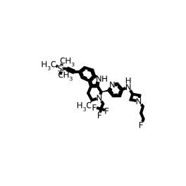 C[C@@H]1Cc2c([nH]c3ccc(C#C[Si](C)(C)C)cc23)[C@@H](c2ccc(NC3CN(CCCF)C3)cn2)N1CC(F)(F)F